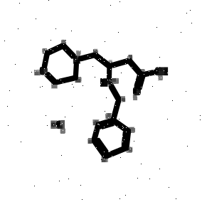 Cl.O=C(O)CC(CN1CCOCC1)NCc1ccccc1